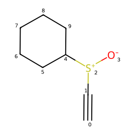 C#C[S+]([O-])C1CCCCC1